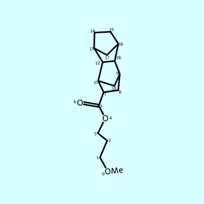 COCCCOC(=O)C1CC2CC1C1C3CCC(C3)C21